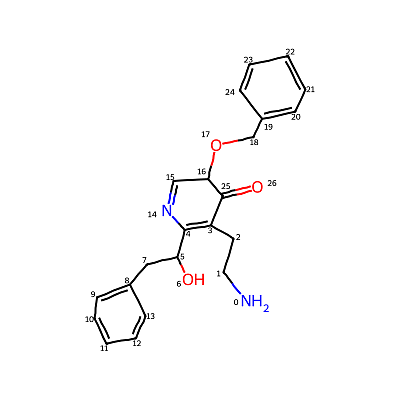 NCCC1=C(C(O)Cc2ccccc2)N=CC(OCc2ccccc2)C1=O